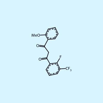 COc1ccccc1C(=O)CC(=O)c1cccc(C(F)(F)F)c1F